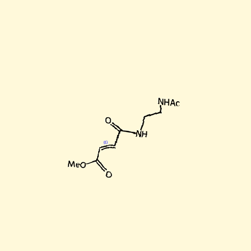 COC(=O)/C=C/C(=O)NCCNC(C)=O